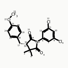 CC1(C)C(=O)N(c2cc(Cl)cc(Cl)c2)C(=O)[C@H]1Cc1ccc(OC(F)(F)F)cc1